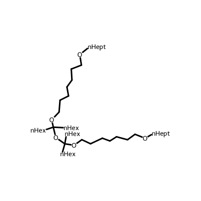 CCCCCCCOCCCCCCCOC(CCCCCC)(CCCCCC)OC(CCCCCC)(CCCCCC)OCCCCCCCOCCCCCCC